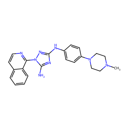 CN1CCN(c2ccc(Nc3nc(N)n(-c4nccc5ccccc45)n3)cc2)CC1